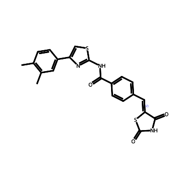 Cc1ccc(-c2csc(NC(=O)c3ccc(/C=C4\SC(=O)NC4=O)cc3)n2)cc1C